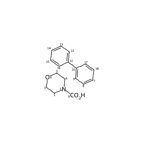 O=C(O)N1CCOCC1.c1ccc(-c2ccccc2)cc1